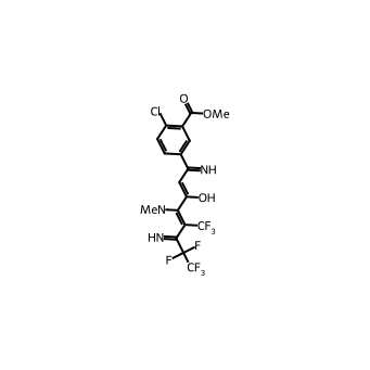 CNC(/C(O)=C/C(=N)c1ccc(Cl)c(C(=O)OC)c1)=C(\C(=N)C(F)(F)C(F)(F)F)C(F)(F)F